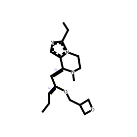 CC/C=C(/C=C1/c2cnc(CC)n2CCN1C)OCC1COC1